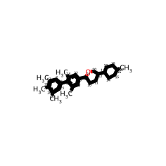 Cc1cc(-c2c(C)cc(C3CCC(C4CCC(C)CC4)CO3)cc2C)cc(C)c1C